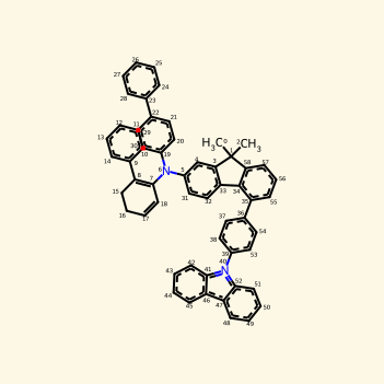 CC1(C)c2cc(N(C3=C(c4ccccc4)CCC=C3)c3ccc(-c4ccccc4)cc3)ccc2-c2c(-c3ccc(-n4c5ccccc5c5ccccc54)cc3)cccc21